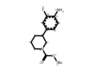 CC(C)(C)OC(=O)N1CCCC(c2ccc(N)c(F)c2)C1